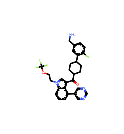 NCc1ccc(F)c(C2CCC(C(=O)c3cn(CCOC(F)(F)F)c4cccc(-c5cncnc5)c34)CC2)c1